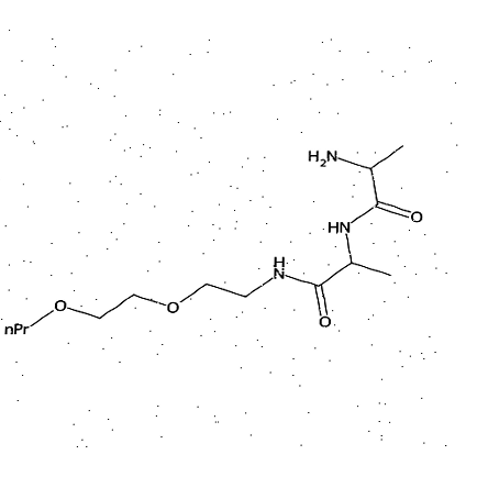 CCCOCCOCCNC(=O)C(C)NC(=O)C(C)N